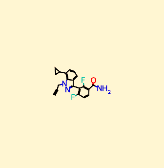 C#CCn1nc(-c2c(F)ccc(C(N)=O)c2F)c2cccc(C3CC3)c21